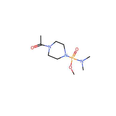 COP(=O)(N(C)C)N1CCN(C(C)=O)CC1